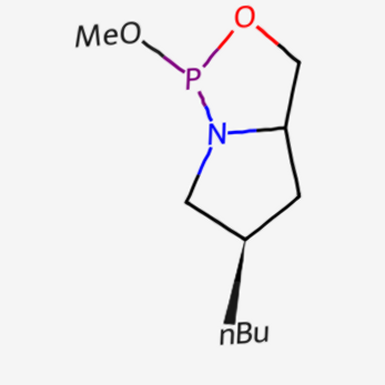 CCCC[C@@H]1CC2COP(OC)N2C1